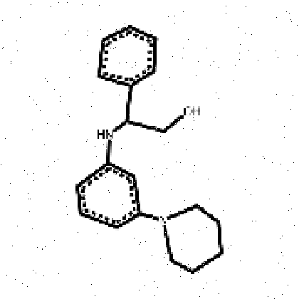 OCC(Nc1cccc(N2CCCCC2)c1)c1ccccc1